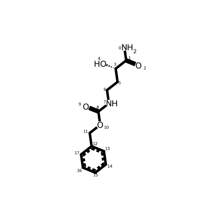 NC(=O)[C@@H](O)CCNC(=O)OCc1ccccc1